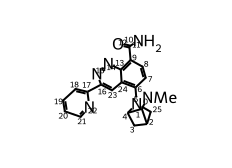 CNC1C2CC1N(c1ccc(C(N)=O)c3nnc(-c4ccccn4)cc13)C2